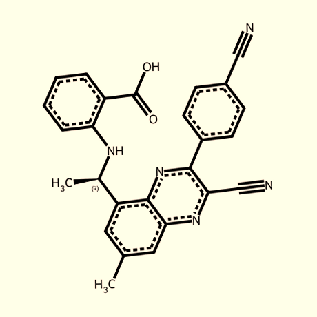 Cc1cc([C@@H](C)Nc2ccccc2C(=O)O)c2nc(-c3ccc(C#N)cc3)c(C#N)nc2c1